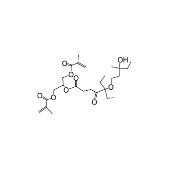 C=C(C)C(=O)OCC(COC(=O)C(=C)C)OC(=O)CCC(=O)C(CC)(CC)OCCC(C)(O)CC